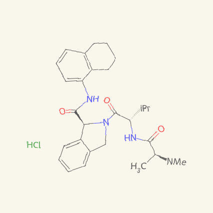 CN[C@@H](C)C(=O)N[C@H](C(=O)N1Cc2ccccc2[C@H]1C(=O)Nc1cccc2c1CCCC2)C(C)C.Cl